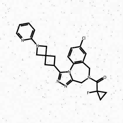 O=C(N1Cc2cc(Cl)ccc2-n2c(nnc2C2CC3(C2)CN(c2ccccn2)C3)C1)C1(F)CC1